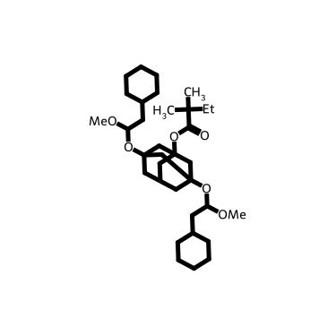 CCC(C)(C)C(=O)OC12CC3CC(OC(CC4CCCCC4)OC)(C1)CC(OC(CC1CCCCC1)OC)(C3)C2